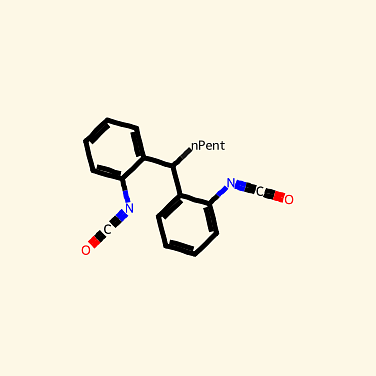 CCCCCC(c1ccccc1N=C=O)c1ccccc1N=C=O